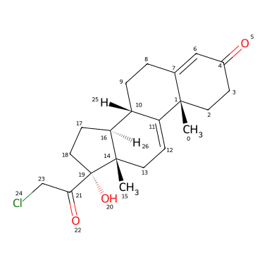 C[C@]12CCC(=O)C=C1CC[C@@H]1C2=CC[C@@]2(C)[C@H]1CC[C@]2(O)C(=O)CCl